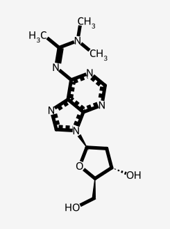 CC(=Nc1ncnc2c1ncn2[C@H]1C[C@H](O)[C@@H](CO)O1)N(C)C